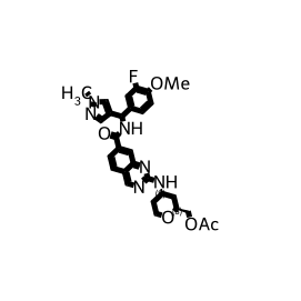 COc1ccc(C(NC(=O)c2ccc3cnc(N[C@H]4CCO[C@H](COC(C)=O)C4)nc3c2)c2cnn(C)c2)cc1F